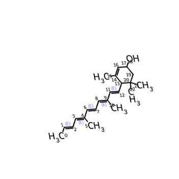 C/C=C/C=C(C)/C=C/C=C(C)/C=C/C1C(C)=CC(O)CC1(C)C